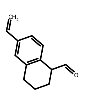 C=Cc1ccc2c(c1)CCCC2C=O